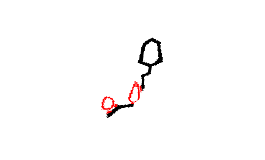 C1CC[C](CCCOCC2CO2)CC1